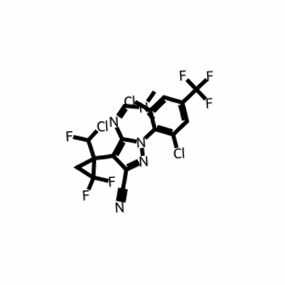 CN(C)/C=N\c1c(C2(C(F)Cl)CC2(F)F)c(C#N)nn1-c1c(Cl)cc(C(F)(F)F)cc1Cl